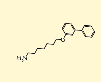 NCCCCCCCOc1cccc(-c2ccccc2)c1